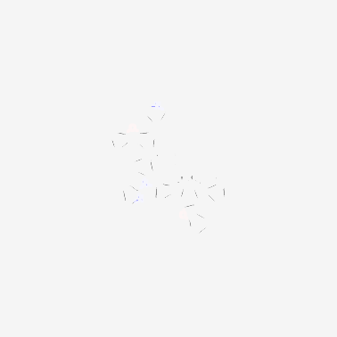 CC1(C)c2cc(N(c3ccc4c(c3)C(C)(C)c3c5c(c6c(oc7ccccc76)c3-4)-c3ccccc3C5(C)C)c3ccccn3)ccc2-c2c1cc(-c1ccncc1)c1oc3ccccc3c21